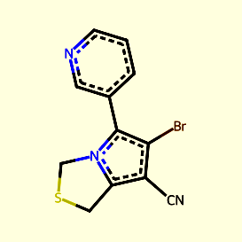 N#Cc1c(Br)c(-c2cccnc2)n2c1CSC2